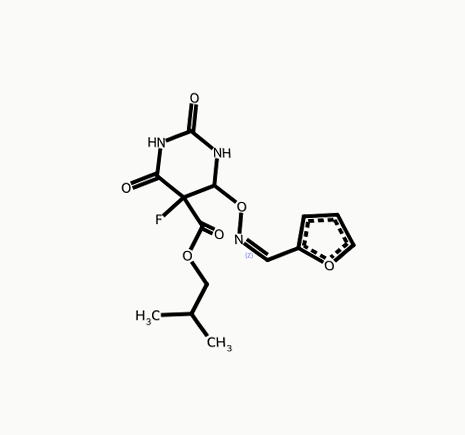 CC(C)COC(=O)C1(F)C(=O)NC(=O)NC1O/N=C\c1ccco1